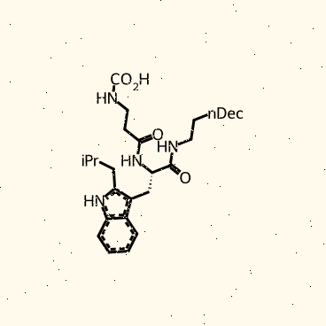 CCCCCCCCCCCCNC(=O)[C@H](Cc1c(CC(C)C)[nH]c2ccccc12)NC(=O)CCNC(=O)O